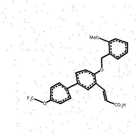 COc1ccccc1COc1ccc(-c2ccc(OC(F)(F)F)cc2)cc1/C=C/C(=O)O